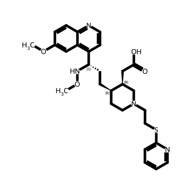 CON[C@@H](CC[C@@H]1CCN(CCSc2ccccn2)C[C@@H]1CC(=O)O)c1ccnc2ccc(OC)cc12